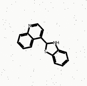 c1ccc2c(c1)NC(c1ccnc3ccccc13)S2